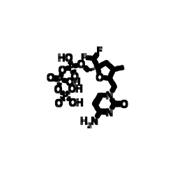 CC1C[C@](COP(=O)(O)OP(=O)(O)OP(=O)(O)O)(C(F)F)OC1Cn1ccc(N)nc1=O